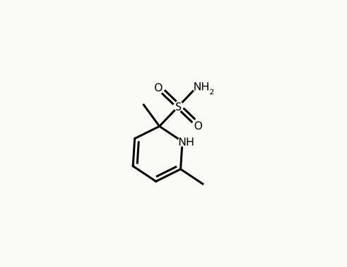 CC1=CC=CC(C)(S(N)(=O)=O)N1